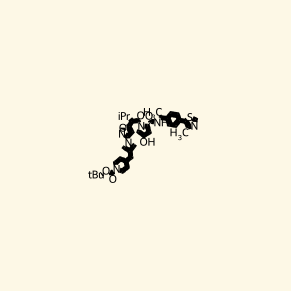 Cc1ncsc1-c1ccc([C@H](C)NC(=O)[C@@H]2C[C@@H](O)CN2C(=O)C(c2cc(N3CC(CC4CCN(C(=O)OC(C)(C)C)CC4)C3)no2)C(C)C)cc1